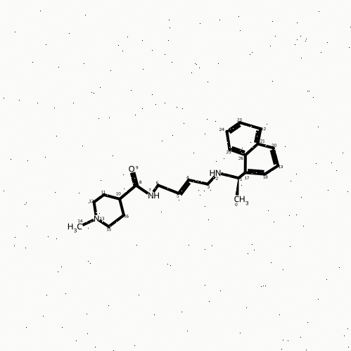 C[C@@H](NC/C=C/CNC(=O)C1CCN(C)CC1)c1cccc2ccccc12